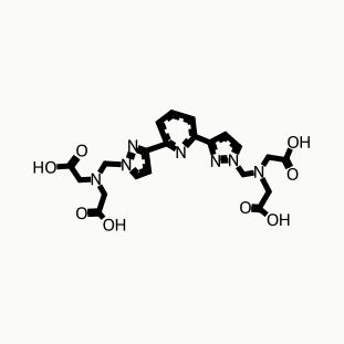 O=C(O)CN(CC(=O)O)Cn1ccc(-c2cccc(-c3ccn(CN(CC(=O)O)CC(=O)O)n3)n2)n1